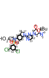 CN(C)CCN(CC(=O)OC(C)(C)C)c1ccnc(N2CCc3cc(N(CC(=O)O)S(=O)(=O)c4cc(Cl)cc(Cl)c4)ccc32)n1